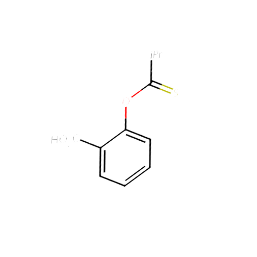 CC(C)C(=S)Oc1ccccc1C(=O)O